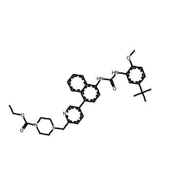 CCOC(=O)N1CCN(Cc2ccc(-c3ccc(NC(=O)Nc4cc(C(C)(C)C)ccc4OC)c4ccccc34)cn2)CC1